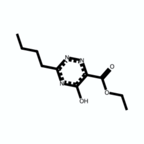 CCCCc1nnc(C(=O)OCC)c(O)n1